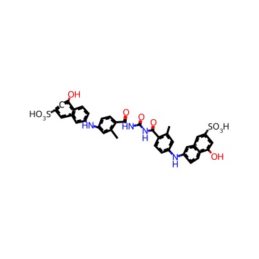 Cc1cc(Nc2ccc3c(O)cc(S(=O)(=O)O)cc3c2)ccc1C(=O)NC(=O)NC(=O)c1ccc(Nc2ccc3c(O)cc(S(=O)(=O)O)cc3c2)cc1C